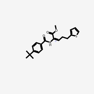 COC(=O)/C(=C\CCc1cccs1)NC(=O)c1ccc(C(C)(C)C)cc1